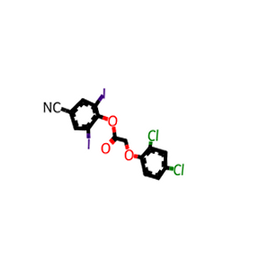 N#Cc1cc(I)c(OC(=O)COc2ccc(Cl)cc2Cl)c(I)c1